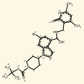 Cc1cc(C)c(CNC(O)c2cc(Br)cc3c2cnn3C2CCN(C(=O)OC(C)(C)C)CC2)c(=O)[nH]1